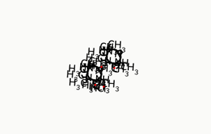 CCC1=C(CC)c2nc1c(CC)c1[nH]c(cc3nc(cc4[nH]c(c2CC)c(CC)c4CC)C=C3)c(CC)c1CC.CCC1=C(CC)c2nc1c(CC)c1[nH]c(cc3nc(cc4[nH]c(c2CC)c(CC)c4CC)C=C3)c(CC)c1CC.Cl.Cl